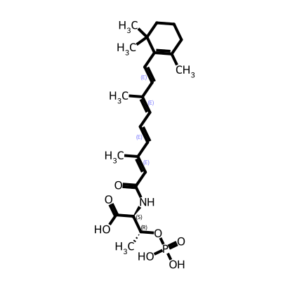 CC1=C(/C=C/C(C)=C/C=C/C(C)=C/C(=O)N[C@H](C(=O)O)[C@@H](C)OP(=O)(O)O)C(C)(C)CCC1